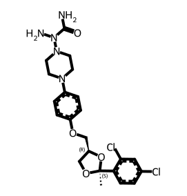 C[C@]1(c2ccc(Cl)cc2Cl)OC[C@@H](COc2ccc(N3CCN(N(N)C(N)=O)CC3)cc2)O1